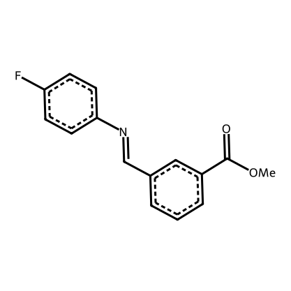 COC(=O)c1cccc(C=Nc2ccc(F)cc2)c1